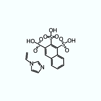 C=Cn1ccnc1.O=S(=O)(O)c1cc2ccccc2c(S(=O)(=O)O)c1S(=O)(=O)O